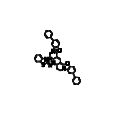 C1=C2c3oc4ccc(-c5ccccc5)cc4[n+]3CCC2N(N=c2[nH]c3ccccc3s2)C2CCN3C(=C12)Oc1ccc(-c2ccccc2)cc13